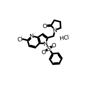 Cl.O=C1CCCN1Cc1cc2nc(Cl)ccc2n1S(=O)(=O)c1ccccc1